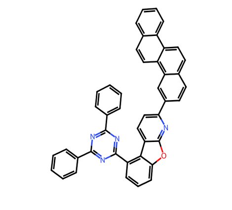 c1ccc(-c2nc(-c3ccccc3)nc(-c3cccc4oc5nc(-c6ccc7ccc8c9ccccc9ccc8c7c6)ccc5c34)n2)cc1